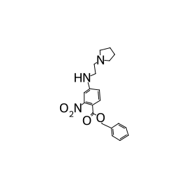 O=C(OCc1ccccc1)c1ccc(NCCN2CCCC2)cc1[N+](=O)[O-]